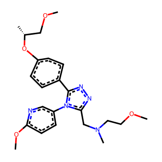 COCCN(C)Cc1nnc(-c2ccc(O[C@H](C)COC)cc2)n1-c1ccc(OC)nc1